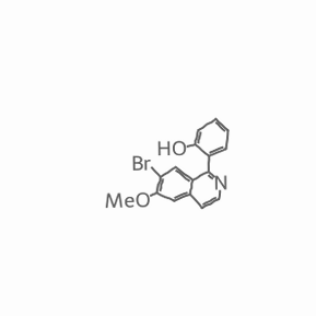 COc1cc2ccnc(-c3ccccc3O)c2cc1Br